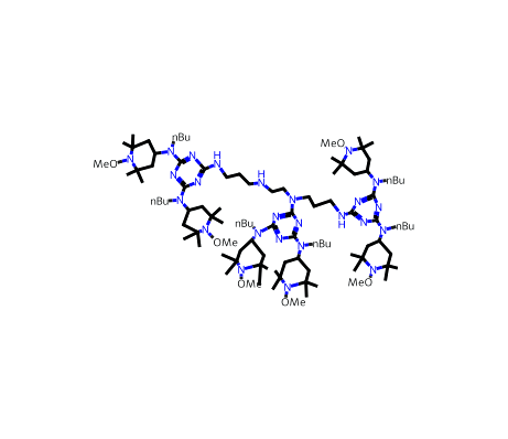 CCCCN(c1nc(NCCCNCCN(CCCNc2nc(N(CCCC)C3CC(C)(C)N(OC)C(C)(C)C3)nc(N(CCCC)C3CC(C)(C)N(OC)C(C)(C)C3)n2)c2nc(N(CCCC)C3CC(C)(C)N(OC)C(C)(C)C3)nc(N(CCCC)C3CC(C)(C)N(OC)C(C)(C)C3)n2)nc(N(CCCC)C2CC(C)(C)N(OC)C(C)(C)C2)n1)C1CC(C)(C)N(OC)C(C)(C)C1